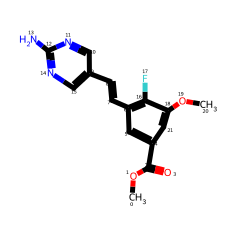 COC(=O)c1cc(C=Cc2cnc(N)nc2)c(F)c(OC)c1